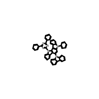 c1ccc(-c2nc(-c3ccccc3)nc(-n3c4ccccc4c4c(-n5c6ccccc6c6ccccc65)cc5c(c6ccccc6n5-c5ccccc5)c43)n2)cc1